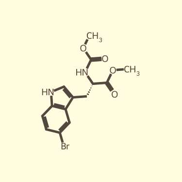 COC(=O)N[C@@H](Cc1c[nH]c2ccc(Br)cc12)C(=O)OC